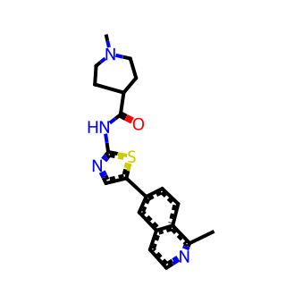 Cc1nccc2cc(-c3cnc(NC(=O)C4CCN(C)CC4)s3)ccc12